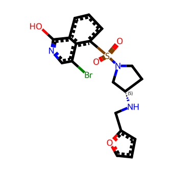 O=S(=O)(c1cccc2c(O)ncc(Br)c12)N1CC[C@H](NCc2ccco2)C1